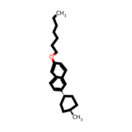 CCCCCCCOc1ccc2cc([C@H]3CC[C@H](C)CC3)ccc2c1